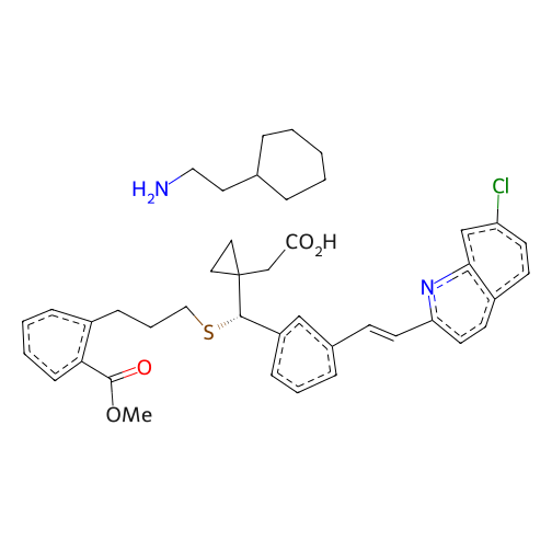 COC(=O)c1ccccc1CCCS[C@@H](c1cccc(C=Cc2ccc3ccc(Cl)cc3n2)c1)C1(CC(=O)O)CC1.NCCC1CCCCC1